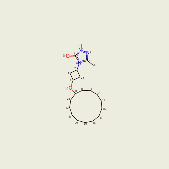 Cc1n[nH]c(=O)n1C1CC(OC2CCCCCCCCCCCC2)C1